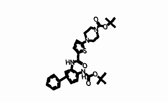 CC(C)(C)OC(=O)Nc1ccc(-c2ccccc2)cc1NC(=O)c1ccc(N2CCN(C(=O)OC(C)(C)C)CC2)s1